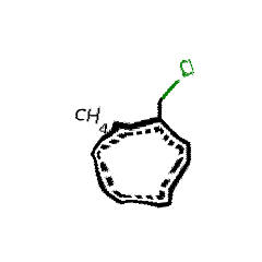 C.Clc1ccccc1